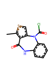 Cc1scc2c1C(=O)Nc1ccccc1N2C(=O)Cl